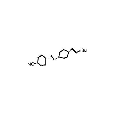 CCCC/C=C/[C@H]1CC[C@H](CC[C@H]2CC[C@H](C#N)CC2)CC1